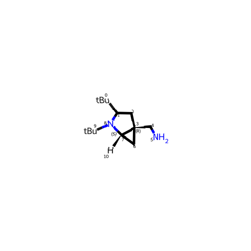 CC(C)(C)C1C[C@]2(CN)C[C@@H]2N1C(C)(C)C